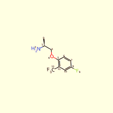 C[C@H](N)COc1ccc(F)cc1C(F)(F)F